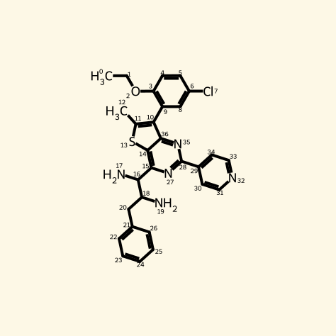 CCOc1ccc(Cl)cc1-c1c(C)sc2c(C(N)C(N)Cc3ccccc3)nc(-c3ccncc3)nc12